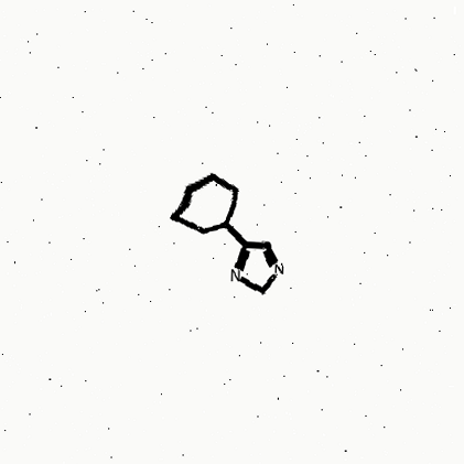 [C]1N=CC(C2CCCCC2)=N1